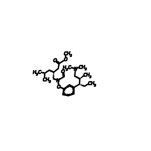 CC[C@H](c1cccc(ON(C=O)C[C@@H](CC(=O)OC)CC(C)C)c1)[C@@H](C)CN(C)C